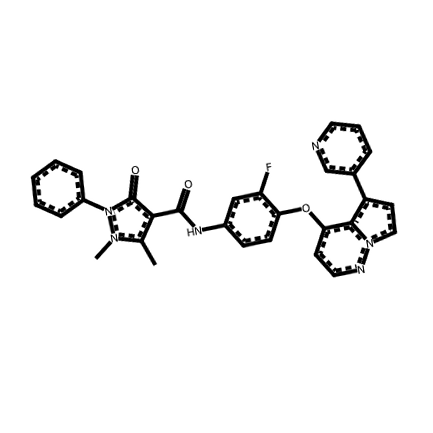 Cc1c(C(=O)Nc2ccc(Oc3ccnn4ccc(-c5cccnc5)c34)c(F)c2)c(=O)n(-c2ccccc2)n1C